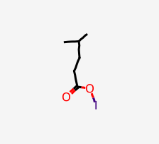 CC(C)CCC(=O)OI